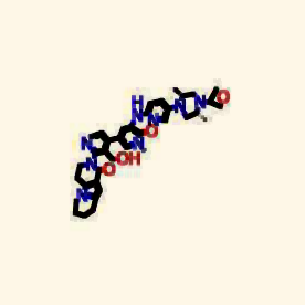 C[C@@H]1CN(c2ccc(Nc3cc(-c4ccnc(N5CCc6c(cc7n6CCCC7)C5=O)c4CO)cn(C)c3=O)nc2)[C@@H](C)CN1C1COC1